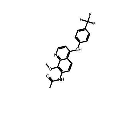 COc1c(NC(C)=O)ccc2c(Nc3ccc(C(F)(F)F)cc3)ccnc12